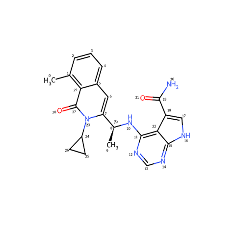 Cc1cccc2cc([C@H](C)Nc3ncnc4[nH]cc(C(N)=O)c34)n(C3CC3)c(=O)c12